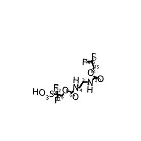 O=C(NCCNC(=O)OCC(F)(F)S(=O)(=O)O)OCC(F)F